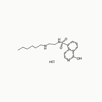 CCCCCCNCCNS(=O)(=O)c1cccc2c(O)nccc12.Cl